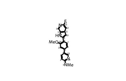 CNc1ccc(-c2ccc(-c3cc4cc(F)ncc4[nH]3)c(OC)c2)cn1